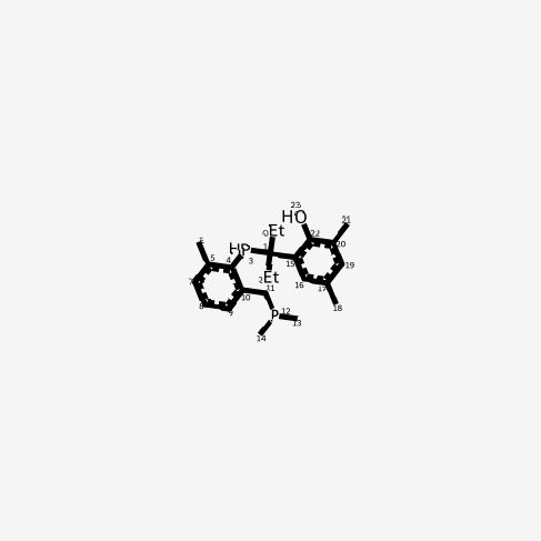 CCC(CC)(Pc1c(C)cccc1CP(C)C)c1cc(C)cc(C)c1O